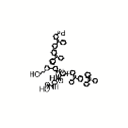 O=C(O)NC1CCC(NC(=O)c2cc(F)cnc2Oc2cccc(-c3cccc(CCCO)c3)c2)CC1.[Pd].c1ccc(P(c2ccccc2)c2ccccc2)cc1.c1ccc(P(c2ccccc2)c2ccccc2)cc1.c1ccc(P(c2ccccc2)c2ccccc2)cc1.c1ccc(P(c2ccccc2)c2ccccc2)cc1